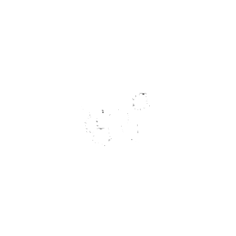 COc1ccc2ncccc2c1C(=O)NCC(c1cnc(C(F)(F)F)nc1)N1CCC(F)(F)CC1